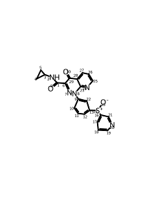 O=C(NC1CC1)c1nn(-c2cccc([S+]([O-])c3cccnc3)c2)c2ncccc2c1=O